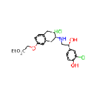 CCOC(=O)COc1ccc2c(c1)C[C@H](NC[C@@H](O)c1ccc(O)c(Cl)c1)CC2.Cl